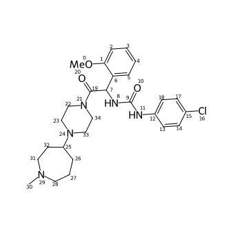 COc1ccccc1C(NC(=O)Nc1ccc(Cl)cc1)C(=O)N1CCN(C2CCCN(C)CC2)CC1